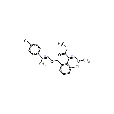 CO/C=C(/C(=O)OC)c1c(Cl)cccc1CO/N=C(\C)c1ccc(Cl)cc1